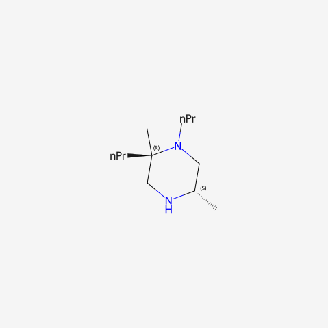 [CH2]CCN1C[C@H](C)NC[C@@]1(C)CC[CH2]